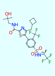 C[C@H](NS(=O)(=O)c1ccc(-c2sc(C(=O)NCC(C)(C)O)nc2CC2CCC2)c(C(F)(F)F)c1)C(F)(F)F